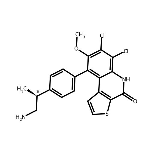 COc1c(Cl)c(Cl)c2[nH]c(=O)c3sccc3c2c1-c1ccc([C@H](C)CN)cc1